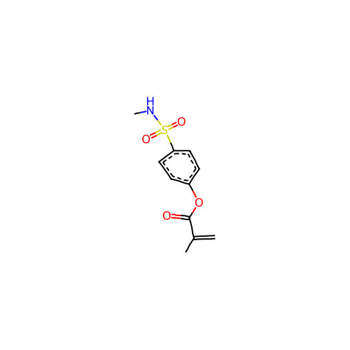 C=C(C)C(=O)Oc1ccc(S(=O)(=O)NC)cc1